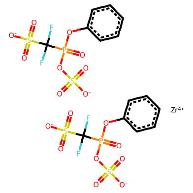 O=P(Oc1ccccc1)(OS(=O)(=O)[O-])C(F)(F)S(=O)(=O)[O-].O=P(Oc1ccccc1)(OS(=O)(=O)[O-])C(F)(F)S(=O)(=O)[O-].[Zr+4]